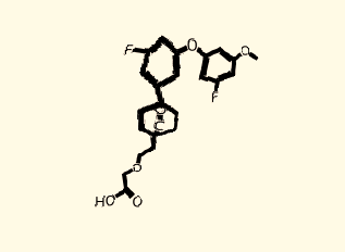 COc1cc(F)cc(Oc2cc(F)cc(C34CCC(CCOCC(=O)O)(CC3)CO4)c2)c1